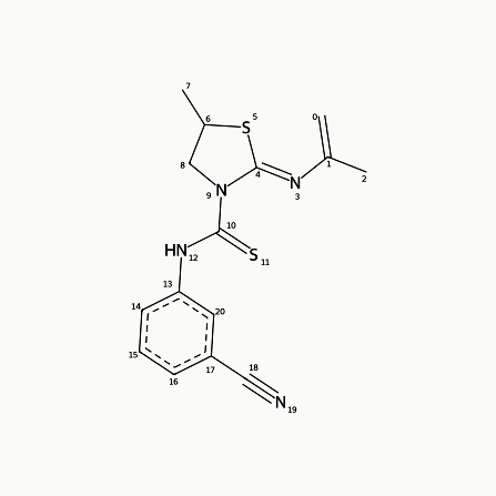 C=C(C)N=C1SC(C)CN1C(=S)Nc1cccc(C#N)c1